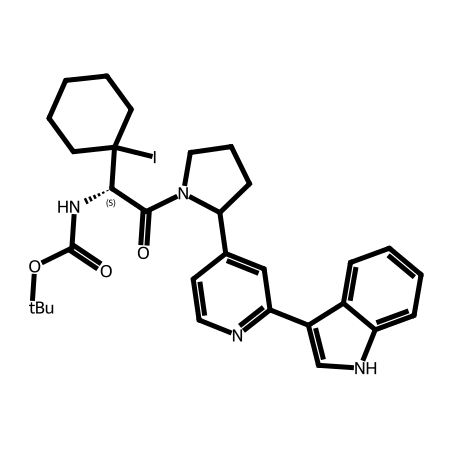 CC(C)(C)OC(=O)N[C@@H](C(=O)N1CCCC1c1ccnc(-c2c[nH]c3ccccc23)c1)C1(I)CCCCC1